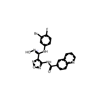 O=C(Nc1nonc1/C(=N\O)Nc1ccc(F)c(Br)c1)c1ccc2ncccc2c1